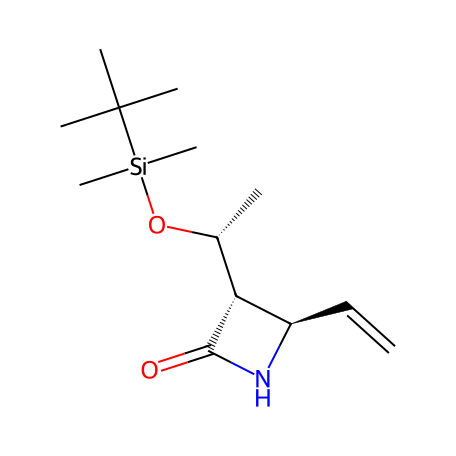 C=C[C@H]1NC(=O)[C@@H]1[C@@H](C)O[Si](C)(C)C(C)(C)C